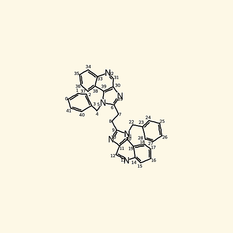 c1ccc(Cn2c(CCc3nc4cnc5ccccc5c4n3Cc3ccccc3)nc3cnc4ccccc4c32)cc1